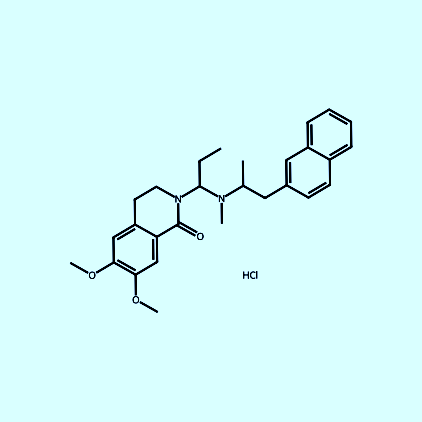 CCC(N1CCc2cc(OC)c(OC)cc2C1=O)N(C)C(C)Cc1ccc2ccccc2c1.Cl